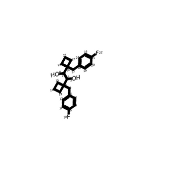 OC(C(O)C1(Cc2ccc(F)cc2)CCC1)C1(Cc2ccc(F)cc2)CCC1